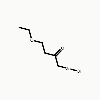 CCOCCC(=O)[CH2][Zn][Br]